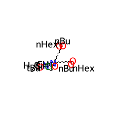 CCCCCCC(CCCC)COC(=O)CCCCCCCCC(CCCCCCCCC(=O)OCC(CCCC)CCCCCC)N(CC1CCN(CCO[Si](C)(C)C(C)(C)C)CC1)C(=O)Cl